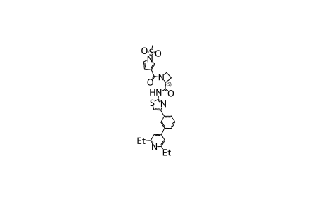 CCc1cc(-c2cccc(-c3csc(NC(=O)[C@@H]4CCN4C(=O)c4ccn(S(C)(=O)=O)c4)n3)c2)cc(CC)n1